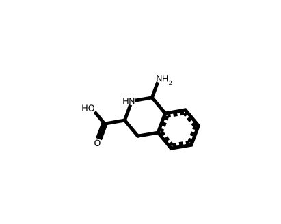 NC1NC(C(=O)O)Cc2ccccc21